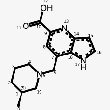 C[C@H]1CCCN(Cc2cc(C(=O)O)nc3cc[nH]c23)C1